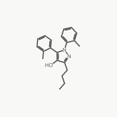 CCCCc1nn(-c2ccccc2C)c(-c2ccccc2C)c1O